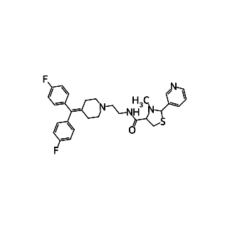 CN1C(C(=O)NCCN2CCC(=C(c3ccc(F)cc3)c3ccc(F)cc3)CC2)CSC1c1cccnc1